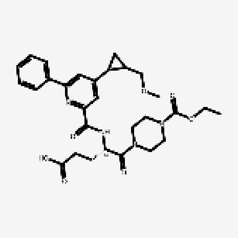 CCOC(=O)N1CCN(C(=O)[C@H](CCC(=O)O)NC(=O)c2cc(C3CC3COC)cc(-c3ccccc3)n2)CC1